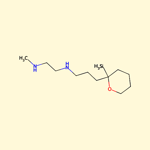 CNCCNCCCC1([SiH3])CCCCO1